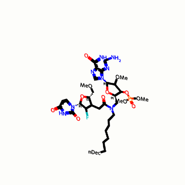 CCCCCCCCCCCCCCCCCN(C[C@H]1O[C@@H](n2cnc3c(=O)[nH]c(N)nc32)C(OC)C1OP(=O)(OC)OC)C(=O)CC1C(F)[C@H](n2ccc(=O)[nH]c2=O)O[C@@H]1COC